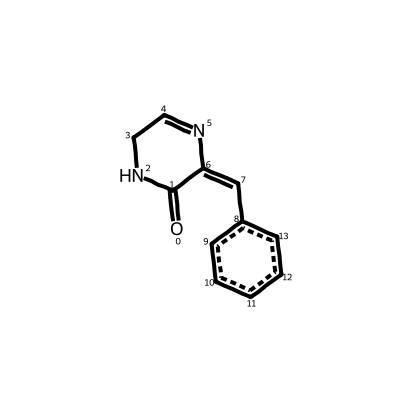 O=C1NCC=NC1=Cc1ccccc1